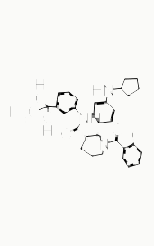 CC(C)(C)c1cccc(NC(=O)[C@H]2CCCN(C(=O)c3ccccc3Cl)[C@H]2C2C=CC(NC3CCCC3)=CC2)c1